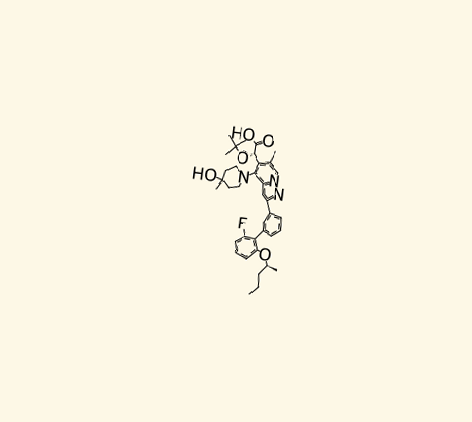 CCC[C@H](C)Oc1cccc(F)c1-c1cccc(-c2cc3c(N4CCC(C)(O)CC4)c([C@H](OC(C)(C)C)C(=O)O)c(C)cn3n2)c1